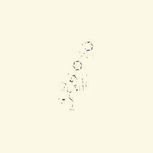 N#CC(=CC1CC1)C(=O)N1CCC[C@H]1c1nc(-c2ccc(C(=O)Nc3ccccn3)cc2)c(C(N)=O)n1N